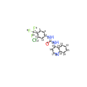 O=C(Nc1ccc(C(F)(F)F)c(Cl)c1)Nc1ccnc2ccccc12